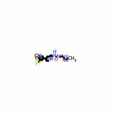 COc1ncc(-c2ccn3nc(NC(=O)NCCc4nc(C)no4)cc3c2)cc1C(F)(F)F